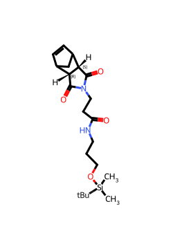 CC(C)(C)[Si](C)(C)OCCCNC(=O)CCN1C(=O)[C@@H]2C3C=CC(C3)[C@@H]2C1=O